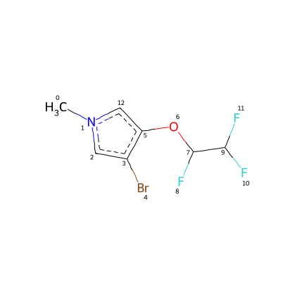 Cn1cc(Br)c(OC(F)C(F)F)c1